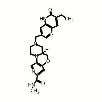 CCc1cc2ncc(CN3CCN4c5cnc(C(=O)NC)cc5OC[C@H]4C3)cc2[nH]c1=O